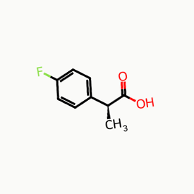 C[C@H](C(=O)O)c1ccc(F)cc1